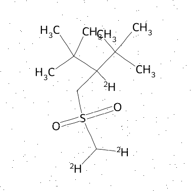 [2H]C([2H])S(=O)(=O)CC([2H])(C(C)(C)C)C(C)(C)C